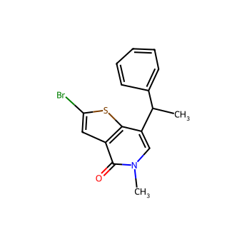 CC(c1ccccc1)c1cn(C)c(=O)c2cc(Br)sc12